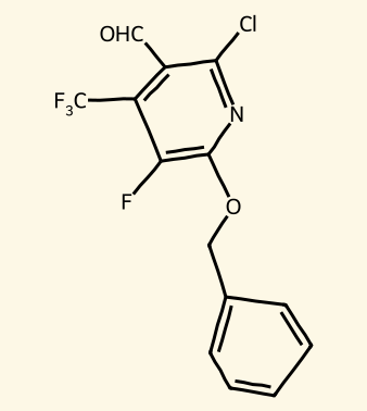 O=Cc1c(Cl)nc(OCc2ccccc2)c(F)c1C(F)(F)F